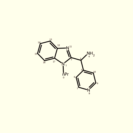 CCCn1c(C(N)c2ccncc2)nc2ccccc21